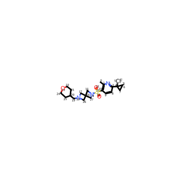 Cc1nc(C2(C(F)(F)F)CC2)ccc1S(=O)(=O)N1CC2(CN(CC3CCOCC3)C2)C1